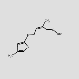 CC(=CCOc1cc(C)cs1)COC(C)(C)C